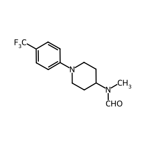 CN(C=O)C1CCN(c2ccc(C(F)(F)F)cc2)CC1